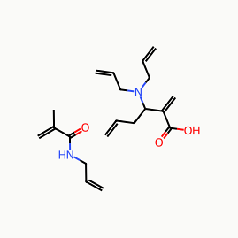 C=CCC(C(=C)C(=O)O)N(CC=C)CC=C.C=CCNC(=O)C(=C)C